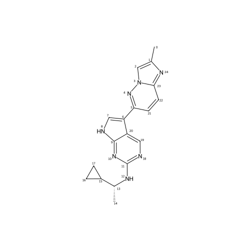 Cc1cn2nc(-c3c[nH]c4nc(N[C@H](C)C5CC5)ncc34)ccc2n1